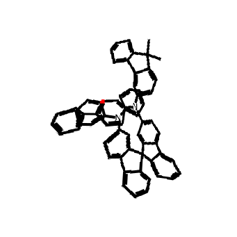 CC1(C)c2ccccc2-c2cc(N(c3ccc(-c4ccccc4)cc3)c3ccc4c(c3)C3(c5ccccc5-c5ccc(N(c6ccccc6)c6ccccc6)cc53)c3ccccc3-4)ccc21